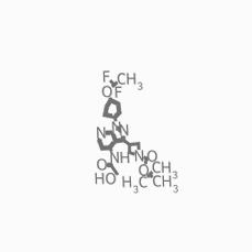 CC(C)(C)OC(=O)N1CC(c2nn(-c3ccc(OC(C)(F)F)cc3)c3nccc(NC(=O)CO)c23)C1